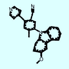 COc1ccc2c(c1)c1ccccc1n2-c1cc(C#N)c(-c2ccncc2)cc1C